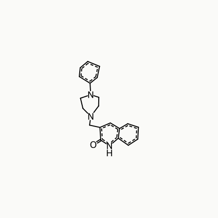 O=c1[nH]c2ccccc2cc1CN1CCN(c2ccccc2)CC1